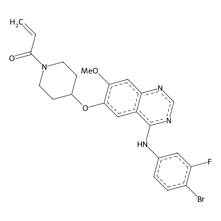 C=CC(=O)N1CCC(Oc2cc3c(Nc4ccc(Br)c(F)c4)ncnc3cc2OC)CC1